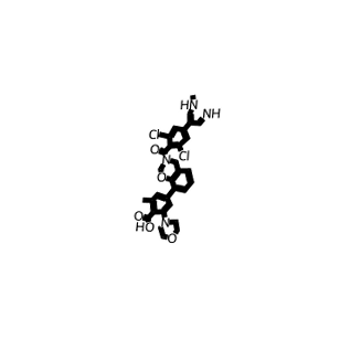 CN/C=C(\C=N)c1cc(Cl)c(C(=O)N2COc3c(cccc3-c3cc(C)c(C(=O)O)c(N4CCOCC4)c3)C2)c(Cl)c1